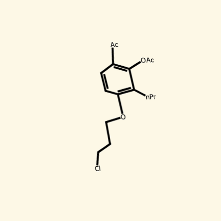 CCCc1c(OCCCCl)ccc(C(C)=O)c1OC(C)=O